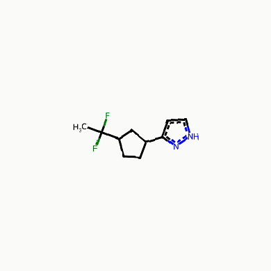 CC(F)(F)C1CCC(c2cc[nH]n2)C1